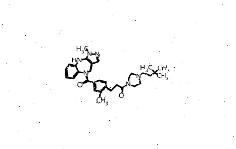 Cc1cc(C(=O)N2Cc3cnn(C)c3Nc3ccccc32)ccc1CCC(=O)N1CCN(CCC(C)(C)C)CC1